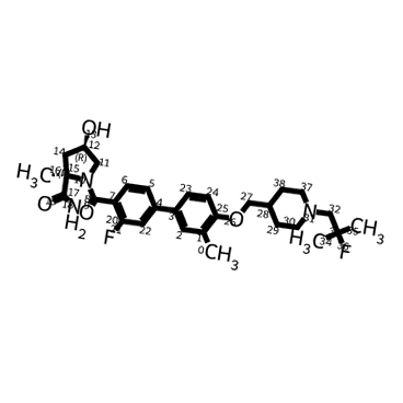 Cc1cc(-c2ccc(C(=O)N3C[C@H](O)C[C@]3(C)C(N)=O)c(F)c2)ccc1OCC1CCN(CC(C)(C)F)CC1